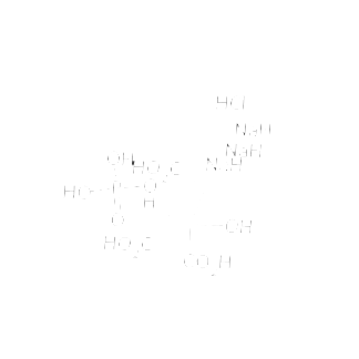 Cl.O=C(O)CC(O)(CC(=O)O)C(=O)O.O=P(O)(O)O.[NaH].[NaH].[NaH]